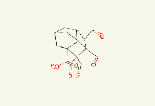 O=CC1C2CC3CC(C(=O)O)(C2)C(C=O)(C=O)C1(C=O)C3